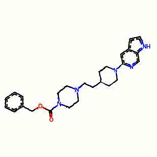 O=C(OCc1ccccc1)N1CCN(CCC2CCN(c3cc4cc[nH]c4cn3)CC2)CC1